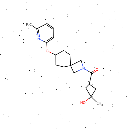 CC1(O)CC(C(=O)N2CC3(CCC(Oc4cccc(C(F)(F)F)n4)CC3)C2)C1